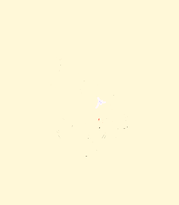 c1ccc(-c2ccccc2-c2ccc(N(c3ccc(-c4cc5ccccc5c5ccccc45)cc3)c3cccc4ccc5c6ccccc6oc5c34)cc2)cc1